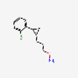 NOCCCC1CC1c1ccccc1Cl